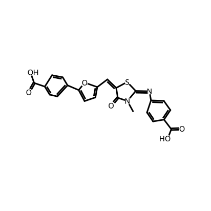 CN1C(=O)/C(=C\c2ccc(-c3ccc(C(=O)O)cc3)o2)S/C1=N/c1ccc(C(=O)O)cc1